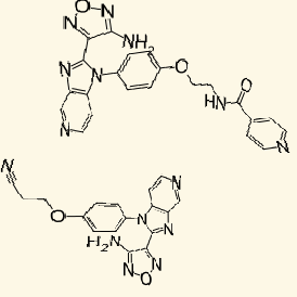 N#CCCOc1ccc(-n2c(-c3nonc3N)nc3cnccc32)cc1.Nc1nonc1-c1nc2cnccc2n1-c1ccc(OCCNC(=O)c2ccncc2)cc1